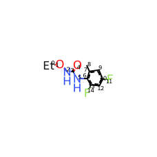 CCONC(=O)Nc1c(C)cc(F)cc1F